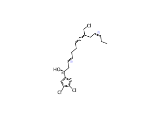 CC/C=C\CC(=C=CCC/C=C/C[C@H](O)c1cc(Cl)c(Cl)s1)CCl